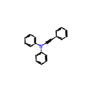 C(#CN(c1ccccc1)c1ccccc1)c1ccccc1